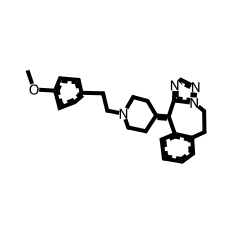 COc1ccc(CCN2CCC(=C3c4ccccc4CCn4ncnc43)CC2)cc1